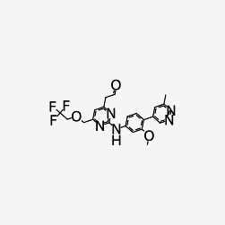 COc1cc(Nc2nc(CC=O)cc(COCC(F)(F)F)n2)ccc1-c1cnnc(C)c1